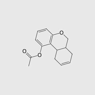 CC(=O)Oc1cccc2c1C1CC=CCC1CO2